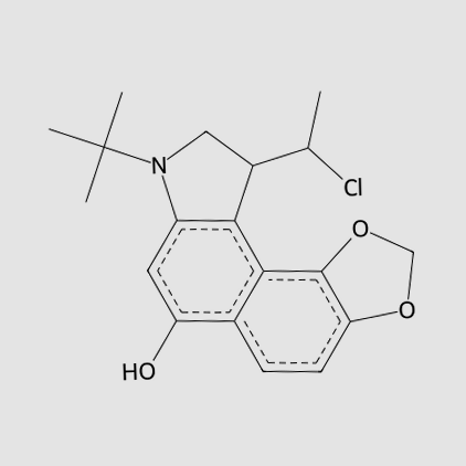 CC(Cl)C1CN(C(C)(C)C)c2cc(O)c3ccc4c(c3c21)OCO4